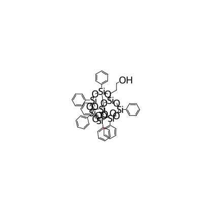 OCCC[Si]12O[Si]3(c4ccccc4)O[Si]4(c5ccccc5)O[Si](c5ccccc5)(O1)O[Si]1(c5ccccc5)O[Si](c5ccccc5)(O2)O[Si](c2ccccc2)(O3)O[Si](c2ccccc2)(O4)O1